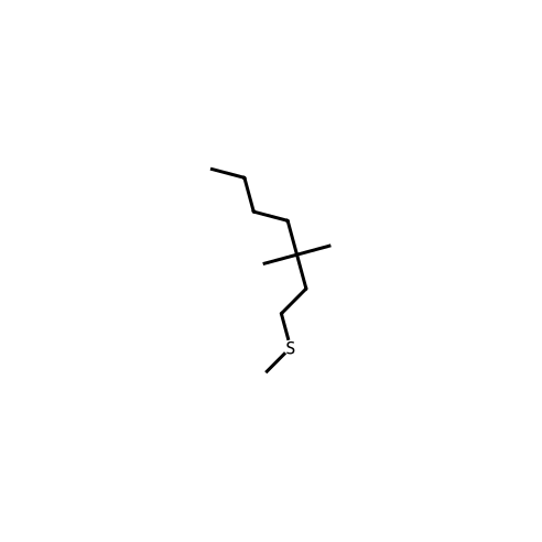 CCCCC(C)(C)CCSC